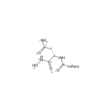 CCCCCC(=O)N[C@@H](CC(N)=O)C(=O)NO